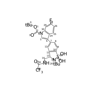 CC(C)(C)OC(=O)n1cc(-c2ccc3c(c2)C(CNC(=O)C(F)(F)F)N(C(C)(C)C)S3(O)O)c2ccc(F)cc21